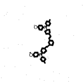 COc1ccc(N(c2ccc(C)cc2)c2ccc(C=Cc3cccc(C=Cc4ccc(N(c5ccc(C)cc5)c5ccc(OC)cc5)cc4)c3)cc2)cc1